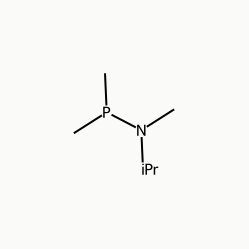 CC(C)N(C)P(C)C